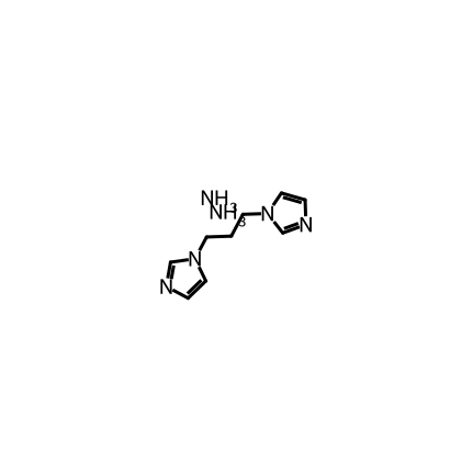 N.N.c1cn(CCCn2ccnc2)cn1